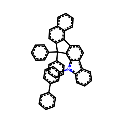 c1ccc(-c2cccc(-n3c4ccccc4c4ccc5c(c43)C(c3ccccc3)(c3ccccc3)c3ccc4ccccc4c3-5)c2)cc1